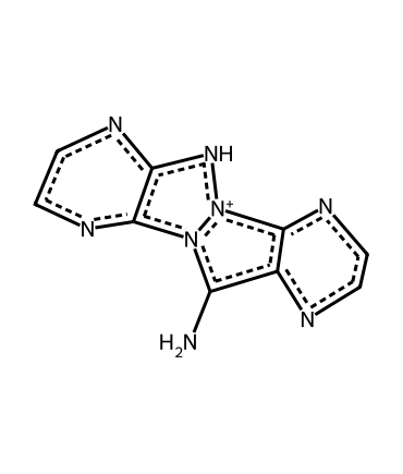 Nc1c2nccnc2[n+]2[nH]c3nccnc3n12